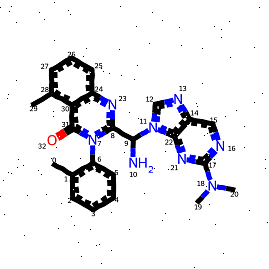 Cc1ccccc1-n1c(C(N)n2cnc3cnc(N(C)C)nc32)nc2cccc(C)c2c1=O